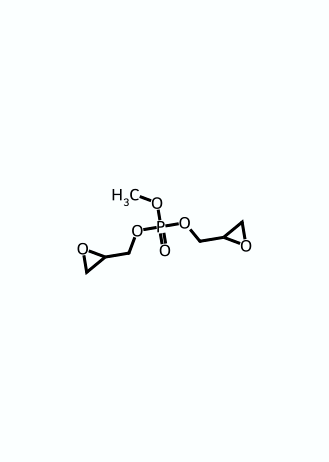 COP(=O)(OCC1CO1)OCC1CO1